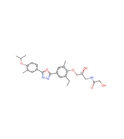 CCc1cc(-c2nnc(-c3ccc(OC(C)C)c(C)c3)o2)cc(C)c1OC[C@@H](O)CNC(=O)CO